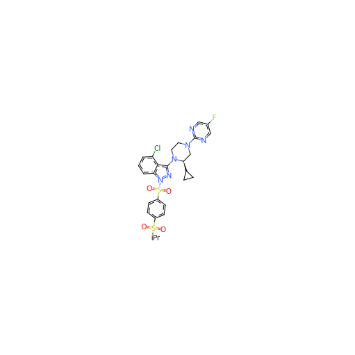 CC(C)S(=O)(=O)c1ccc(S(=O)(=O)n2nc(N3CCN(c4ncc(F)cn4)C[C@H]3C3CC3)c3c(Cl)cccc32)cc1